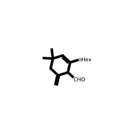 C=C1CC(C)(C)C=C(CCCCCC)C1C=O